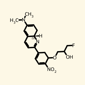 CN(C)C1=CC[C@@H]2N=C(C3=CC=C([N+](=O)[O-])C(OCC(O)CF)C3)C=CC2=C1